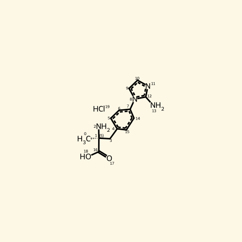 C[C@](N)(Cc1ccc(-n2ccnc2N)cc1)C(=O)O.Cl